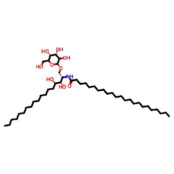 CCCCCCCCCCCCCCCCCCCCCCC(=O)N[C@@H](CO[C@H]1OC(CO)[C@H](O)[C@H](O)C1O)[C@H](O)[C@H](O)CCCCCCCCCCCCCC